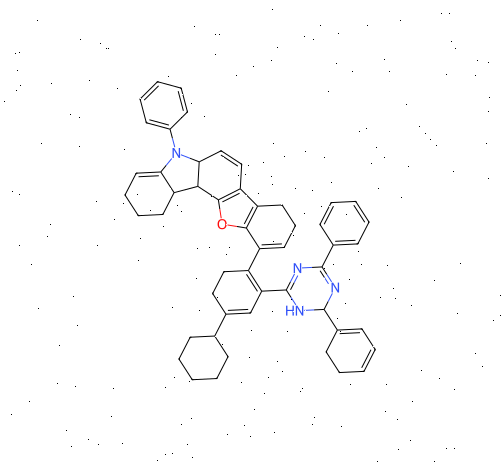 C1=CCCC(C2N=C(c3ccccc3)N=C(C3=C(C4=CCCc5c4oc4c5C=CC5C4C4CCCC=C4N5c4ccccc4)CCC(C4CCCCC4)=C3)N2)=C1